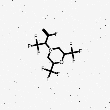 C=C(F)C(N1CC(C(F)(F)F)OC(C(F)(F)F)C1)C(F)(F)F